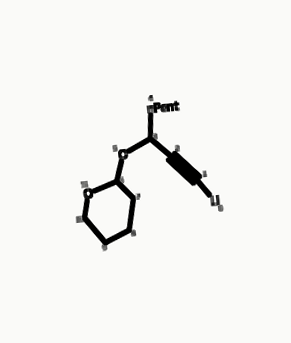 [Li][C]#CC(CCCCC)OC1CCCCO1